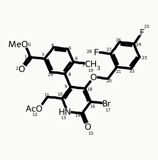 COC(=O)c1ccc(C)c(-c2c(COC(C)=O)[nH]c(=O)c(Br)c2OCc2ccc(F)cc2F)c1